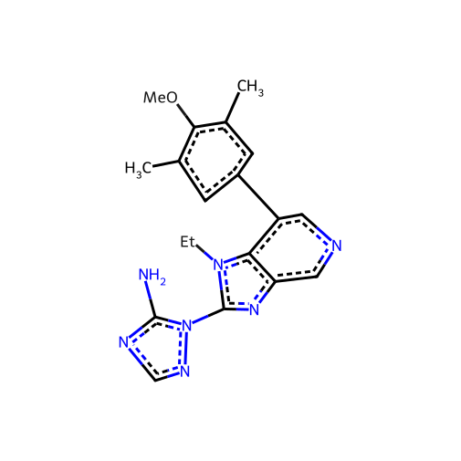 CCn1c(-n2ncnc2N)nc2cncc(-c3cc(C)c(OC)c(C)c3)c21